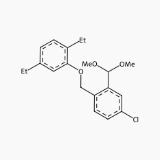 CCc1ccc(CC)c(OCc2ccc(Cl)cc2C(OC)OC)c1